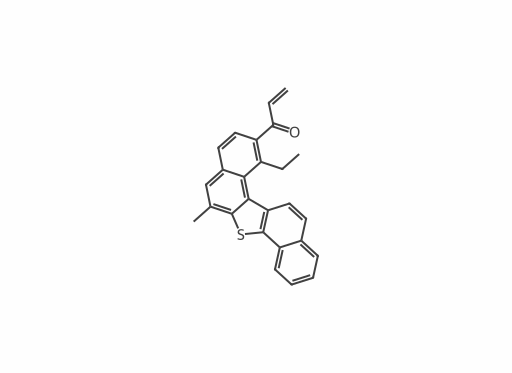 C=CC(=O)c1ccc2cc(C)c3sc4c5ccccc5ccc4c3c2c1CC